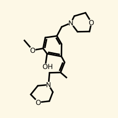 COc1cc(CN2CCOCC2)cc(C=C(C)CN2CCOCC2)c1O